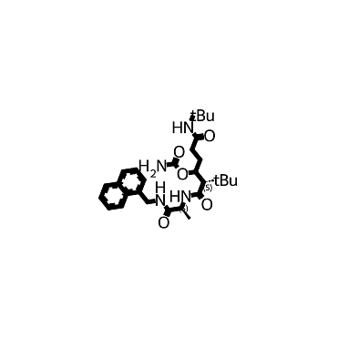 C[C@H](NC(=O)[C@H](C(CCC(=O)NC(C)(C)C)OC(N)=O)C(C)(C)C)C(=O)NCc1cccc2ccccc12